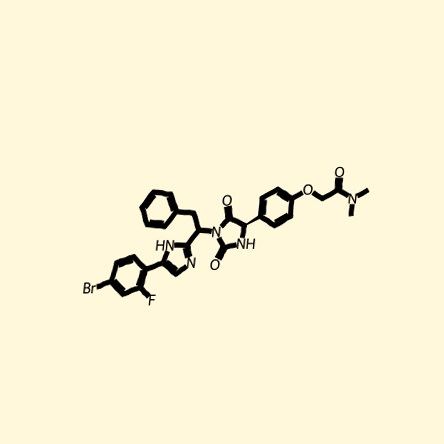 CN(C)C(=O)COc1ccc([C@H]2NC(=O)N(C(Cc3ccccc3)c3ncc(-c4ccc(Br)cc4F)[nH]3)C2=O)cc1